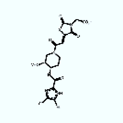 CCc1[nH]c(C(=O)N[C@@H]2CCN(C(=O)/C=C3\SC(=O)N(CC(=O)O)C3=O)C[C@@H]2OC)nc1Cl